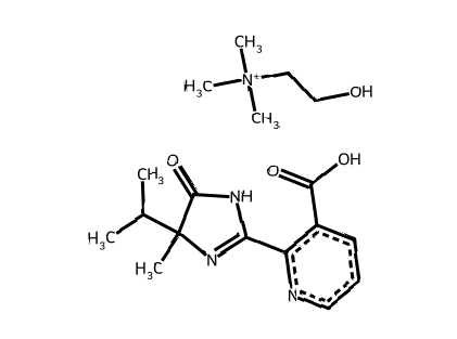 CC(C)C1(C)N=C(c2ncccc2C(=O)O)NC1=O.C[N+](C)(C)CCO